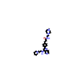 CN1CCCN(CCNC(=O)CCc2ccc(-c3cc(NCCCN4CCCCC4)c4cnccc4n3)cc2)CC1